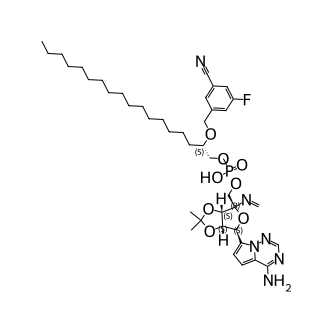 C=N[C@]1(COP(=O)(O)OC[C@H](CCCCCCCCCCCCCCCC)OCc2cc(F)cc(C#N)c2)O[C@@H](c2ccc3c(N)ncnn23)[C@@H]2OC(C)(C)O[C@@H]21